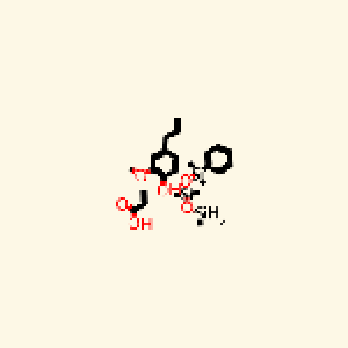 C=CC(=O)O.C=CCc1ccc(O)c(OC)c1.C[SiH2]O[Si](C)(C)O[Si](C)(C)c1ccccc1